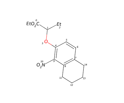 CCOC(=O)C(CC)Oc1ccc2c(c1[N+](=O)[O-])CCCC2